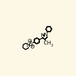 Cc1cn(-c2ccccc2)nc1-c1ccc(S(=O)(=O)N2CCCCC2)cc1